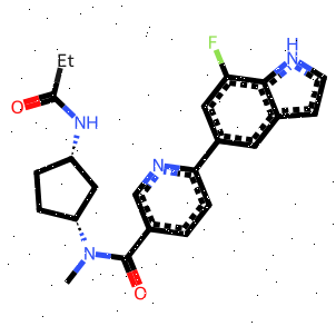 CCC(=O)N[C@H]1CC[C@@H](N(C)C(=O)c2ccc(-c3cc(F)c4[nH]ccc4c3)nc2)C1